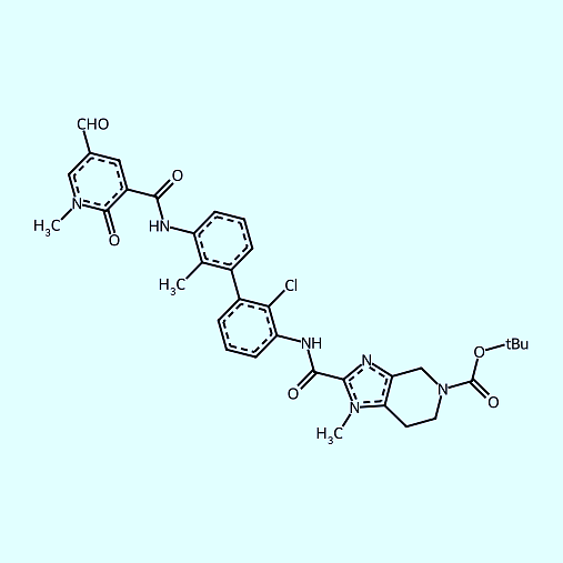 Cc1c(NC(=O)c2cc(C=O)cn(C)c2=O)cccc1-c1cccc(NC(=O)c2nc3c(n2C)CCN(C(=O)OC(C)(C)C)C3)c1Cl